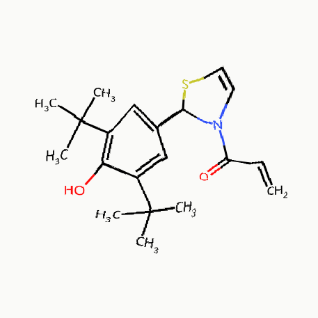 C=CC(=O)N1C=CSC1c1cc(C(C)(C)C)c(O)c(C(C)(C)C)c1